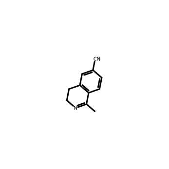 CC1=NCCc2cc(C#N)ccc21